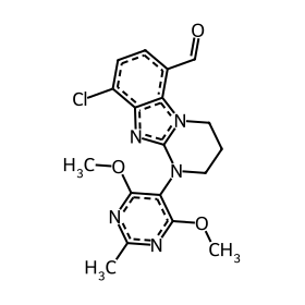 COc1nc(C)nc(OC)c1N1CCCn2c1nc1c(Cl)ccc(C=O)c12